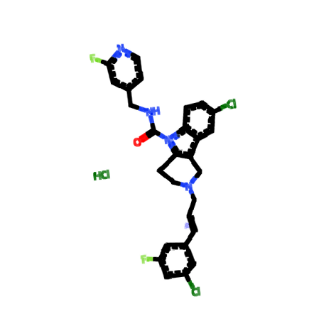 Cl.O=C(NCc1ccnc(F)c1)n1c2c(c3cc(Cl)ccc31)CN(C/C=C/c1cc(F)cc(Cl)c1)CC2